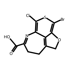 O=C(O)C1=NC2=C(Cl)SC(Br)=C3OCC(=C23)CC1